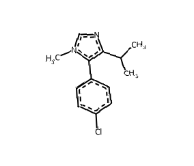 CC(C)c1ncn(C)c1-c1ccc(Cl)cc1